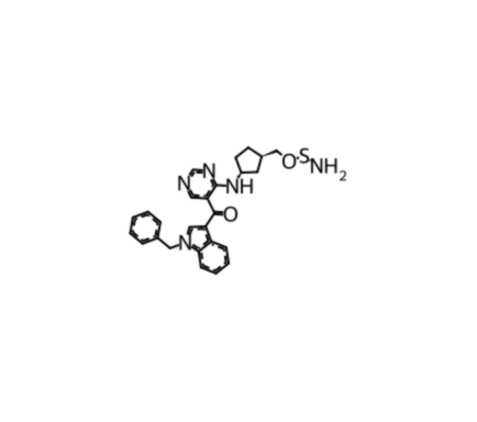 NSOC[C@@H]1CC[C@H](Nc2ncncc2C(=O)c2cn(Cc3ccccc3)c3ccccc23)C1